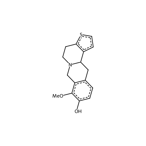 COc1c(O)ccc2c1CN1CCc3sccc3C1C2